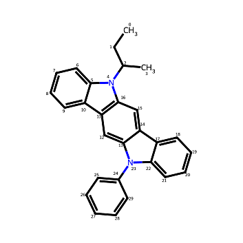 CCC(C)n1c2ccccc2c2cc3c(cc21)c1ccccc1n3-c1ccccc1